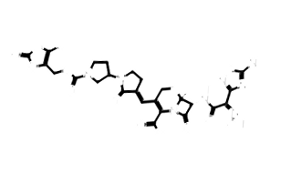 Cc1oc(=O)oc1COC(=O)N1CCC(N2CC/C(=C\C3=C(C(=O)O)N4C(=O)[C@@H](NC(=O)/C(=N\O)c5nsc(N)n5)[C@H]4SC3)C2=O)C1